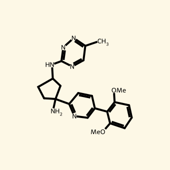 COc1cccc(OC)c1-c1ccc(C2(N)CCC(Nc3ncc(C)nn3)C2)nc1